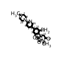 CN1CCN(c2ccc(-c3cc(O)c(N4CC(=O)N(C)S4(=O)=O)c(P)c3)cn2)CC1